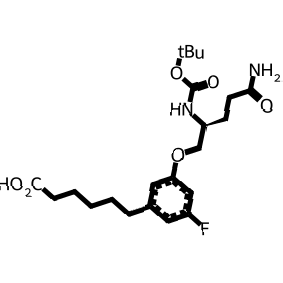 CC(C)(C)OC(=O)N[C@@H](CCC(N)=O)COc1cc(F)cc(CCCCCC(=O)O)c1